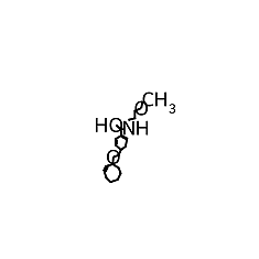 CCOCCCNC(O)C1=CCC(COC2C#CCCCCC2)C=C1